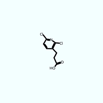 O=C(O)CCc1ccc(Cl)nc1Cl